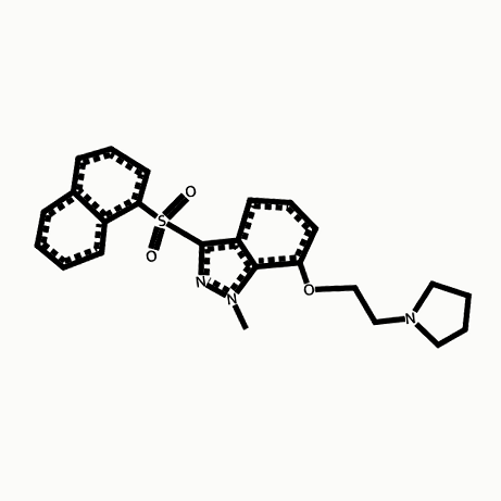 Cn1nc(S(=O)(=O)c2cccc3ccccc23)c2cccc(OCCN3CCCC3)c21